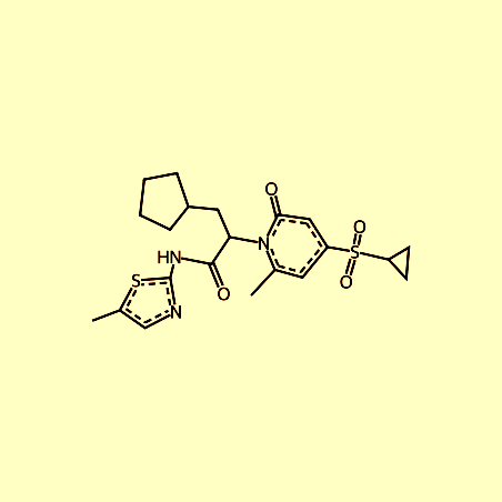 Cc1cnc(NC(=O)C(CC2CCCC2)n2c(C)cc(S(=O)(=O)C3CC3)cc2=O)s1